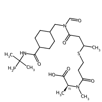 CC(CC(=O)N(C=O)CC1CCC(C(=O)NC(C)(C)P)CC1)SCCC(=O)N(C)[C@@H](C)C(=O)O